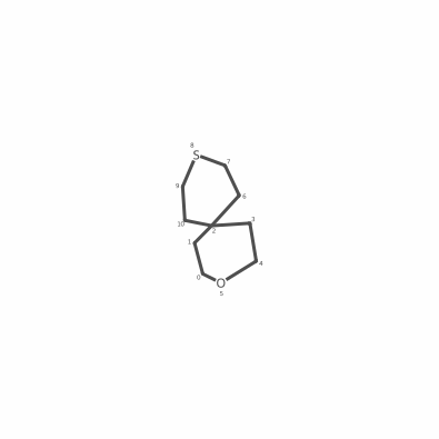 C1CC2(CCO1)CCSCC2